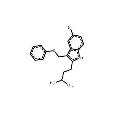 CN(C)CCc1[nH]c2ccc(Br)cc2c1CSc1ccccc1